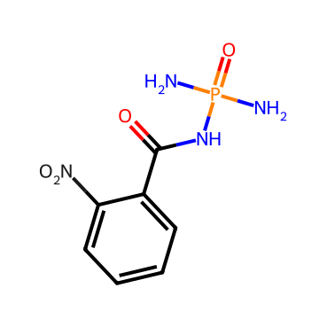 NP(N)(=O)NC(=O)c1ccccc1[N+](=O)[O-]